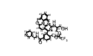 Cc1ccc(C(=O)NCc2cccnc2)cc1-c1nc(NC(CO)COC(=O)C(F)(F)F)nc2c1ccc(=O)n2-c1c(F)cccc1F